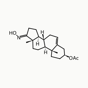 CC(=O)O[C@H]1CC[C@@]2(C)C(=CC[C@@H]3[C@@H]2CC[C@]2(C)C(=NO)CC[C@@H]32)C1